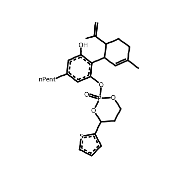 C=C(C)C1CCC(C)=CC1c1c(O)cc(CCCCC)cc1OP1(=O)OCCC(c2cccs2)O1